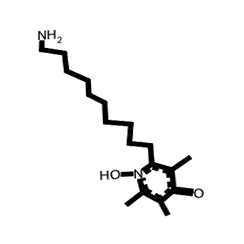 Cc1c(C)n(O)c(CCCCCCCCCCN)c(C)c1=O